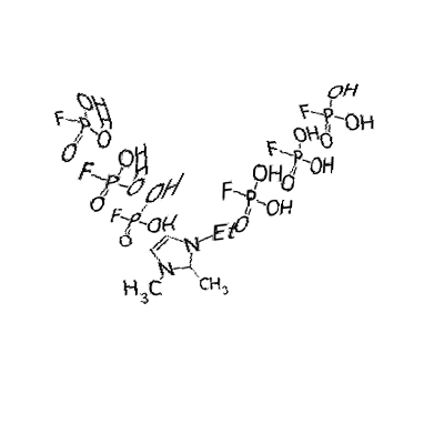 CCN1C=CN(C)C1C.O=P(O)(O)F.O=P(O)(O)F.O=P(O)(O)F.O=P(O)(O)F.O=P(O)(O)F.O=P(O)(O)F